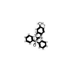 Cc1ccc2nc(P(=O)(c3ccccc3)c3ccccc3)sc2c1